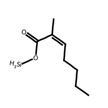 CCCCC=C(C)C(=O)O[SiH3]